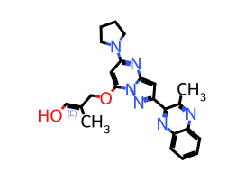 C/C(=C\O)COc1cc(N2CCCC2)nc2cc(-c3nc4ccccc4nc3C)nn12